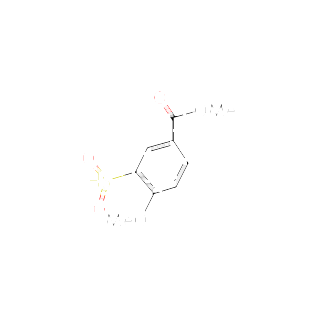 COC(=O)c1ccc(OC)c([SH](=O)=O)c1